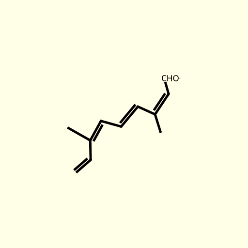 C=CC(C)=CC=CC(C)=C[C]=O